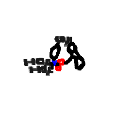 O=C(O)C[C@@H](C(=O)O)N(C(=O)OCC1c2ccccc2-c2ccccc21)C1CCC(C(=O)O)CC1